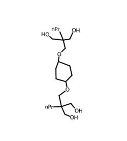 CCCC(CO)(CO)COC1CCC(OCC(CO)(CO)CCC)CC1